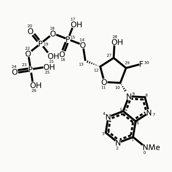 CNc1ncnc2c1ncn2[C@@H]1O[C@H](COP(=O)(O)OP(=O)(O)OP(=O)(O)O)C(O)C1F